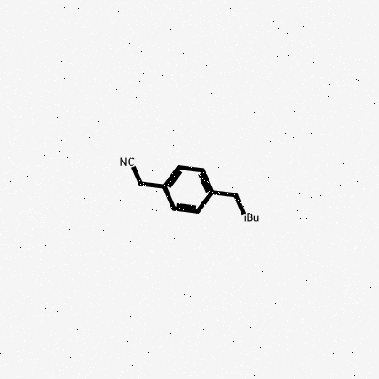 CCC(C)Cc1ccc(CC#N)cc1